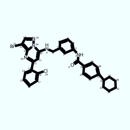 O=C(Nc1cccc(CNc2cc(-c3ccccc3Cl)nc3c(Br)cnn23)c1)c1ccc(C2CCCCC2)cc1